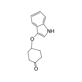 O=C1CCC(Oc2c[nH]c3ccccc23)CC1